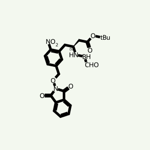 CC(C)(C)OC(=O)C[C@H](Cc1cc(CON2C(=O)c3ccccc3C2=O)ccc1[N+](=O)[O-])NBC=O